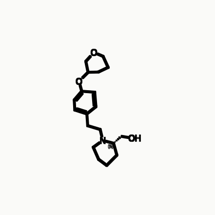 OC[C@@H]1CCCCN1CCc1ccc(OC2CCCOC2)cc1